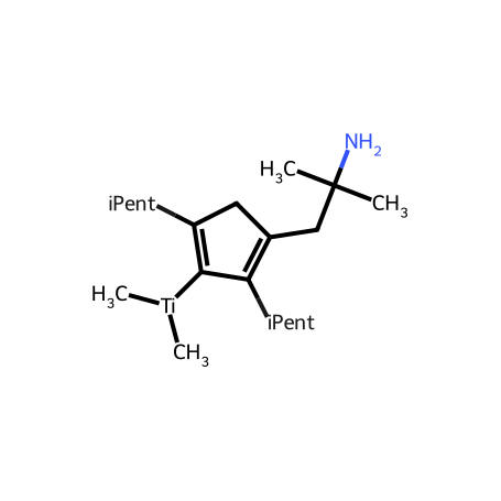 CCCC(C)C1=[C]([Ti]([CH3])[CH3])C(C(C)CCC)=C(CC(C)(C)N)C1